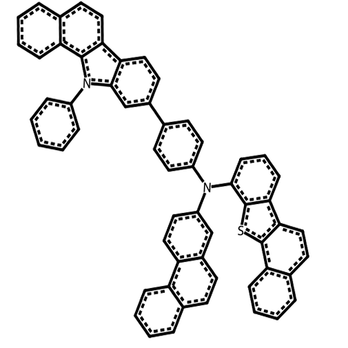 c1ccc(-n2c3cc(-c4ccc(N(c5ccc6c(ccc7ccccc76)c5)c5cccc6c5sc5c7ccccc7ccc65)cc4)ccc3c3ccc4ccccc4c32)cc1